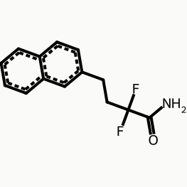 NC(=O)C(F)(F)CCc1ccc2ccccc2c1